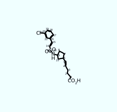 O=C(O)CCCC=CC1CCC(NS(=O)(=O)C=Cc2cccc(Cl)c2)C1